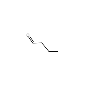 [CH]CCC=O